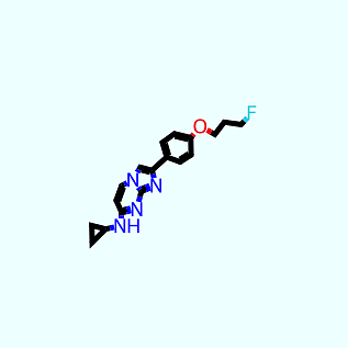 FCCCOc1ccc(-c2cn3ccc(NC4CC4)nc3n2)cc1